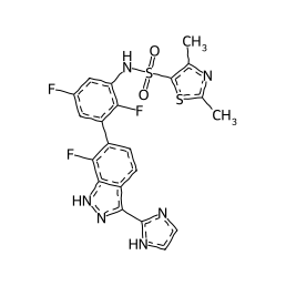 Cc1nc(C)c(S(=O)(=O)Nc2cc(F)cc(-c3ccc4c(-c5ncc[nH]5)n[nH]c4c3F)c2F)s1